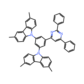 Cc1ccc2c(c1)c1cc(C)ccc1n2-c1cc(-c2cc(-c3ccccc3)nc(-c3ccccc3)n2)cc(-n2c3ccc(C)cc3c3cc(C)ccc32)c1